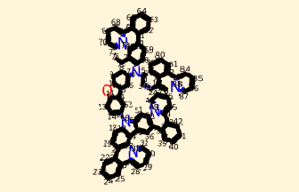 C=C(/C=C\C(=C)N(c1ccc2oc3ccc(-n4c5ccc(-c6ccccc6-c6ccccn6)cc5c5cc(-c6ccccc6-c6ccccn6)ccc54)cc3c2c1)c1ccc(-c2ccccc2-c2ccccn2)cc1CC)c1ccccc1-c1ccccn1